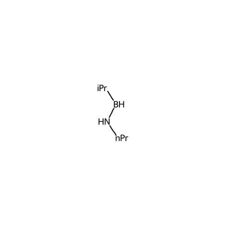 CCCNBC(C)C